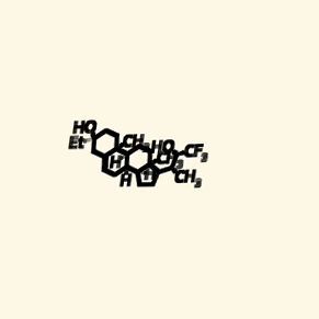 CC[C@]1(O)CC[C@@]2(C)C(=CC[C@H]3[C@@H]4CC[C@H]([C@H](C)[C@@H](O)C(F)(F)F)[C@@]4(C)CC[C@@H]32)C1